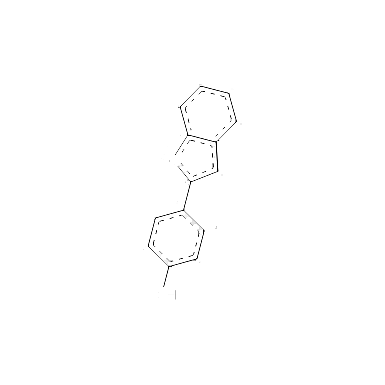 Cc1ccc(-c2cc3ccccc3[se]2)cc1